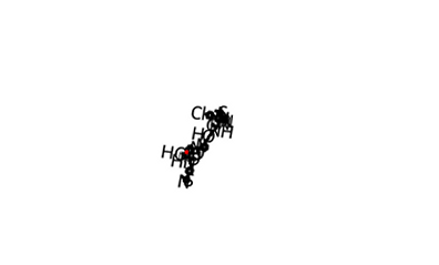 Cc1ncsc1-c1ccc(CNC(=O)[C@@H]2C[C@@H](O)CN2C(=O)[C@@H](NC(=O)c2cccc(CCOCCNC(=O)C[C@@H]3N=C(c4ccc(Cl)cc4)c4c(sc(C)c4C)-n4c(C)nnc43)n2)C(C)(C)C)cc1